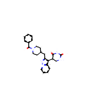 O=C1NCC(c2c(CC3CCN(C(=O)c4ccccc4)CC3)nn3ccccc23)C(=O)N1